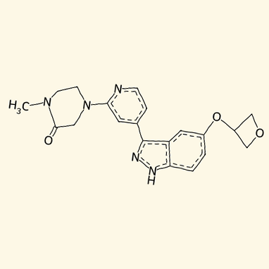 CN1CCN(c2cc(-c3n[nH]c4ccc(OC5COC5)cc34)ccn2)CC1=O